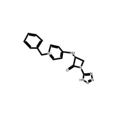 O=C1[C@@H](Nc2cc[n+](Cc3ccccc3)cc2)CN1c1nnn[nH]1